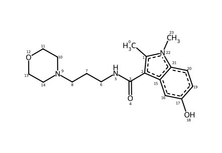 Cc1c(C(=O)NCCCN2CCOCC2)c2cc(O)ccc2n1C